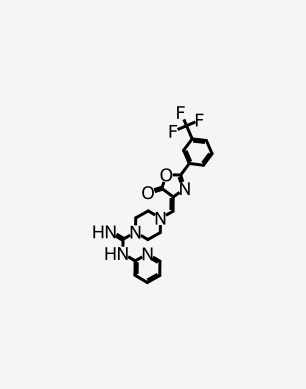 N=C(Nc1ccccn1)N1CCN(/C=C2/N=C(c3cccc(C(F)(F)F)c3)OC2=O)CC1